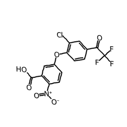 O=C(O)c1cc(Oc2ccc(C(=O)C(F)(F)F)cc2Cl)ccc1[N+](=O)[O-]